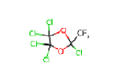 FC(F)(F)C1(Cl)OC(Cl)(Cl)C(Cl)(Cl)O1